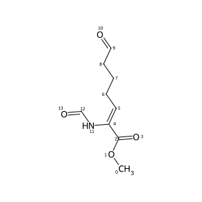 COC(=O)C(=CCCCC=O)NC=O